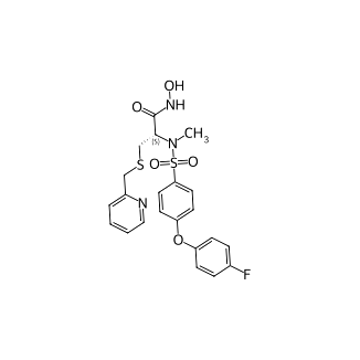 CN([C@H](CSCc1ccccn1)C(=O)NO)S(=O)(=O)c1ccc(Oc2ccc(F)cc2)cc1